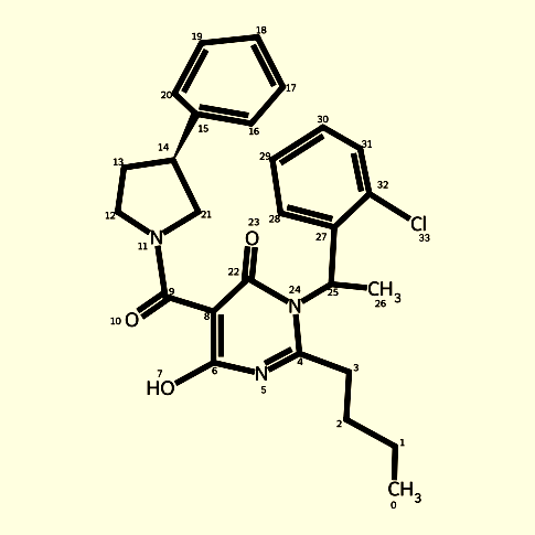 CCCCc1nc(O)c(C(=O)N2CC[C@@H](c3ccccc3)C2)c(=O)n1C(C)c1ccccc1Cl